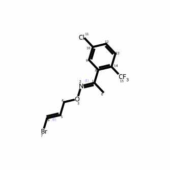 C/C(=N\OC/C=C/Br)c1cc(Cl)ccc1C(F)(F)F